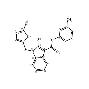 Cc1cccc(OC(=O)c2c(O)n(Cc3cnc(Cl)s3)c3cccc[n+]23)c1